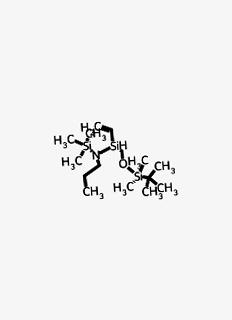 C=C[SiH](CO[Si](C)(C)C(C)(C)C)N(CCC)[Si](C)(C)C